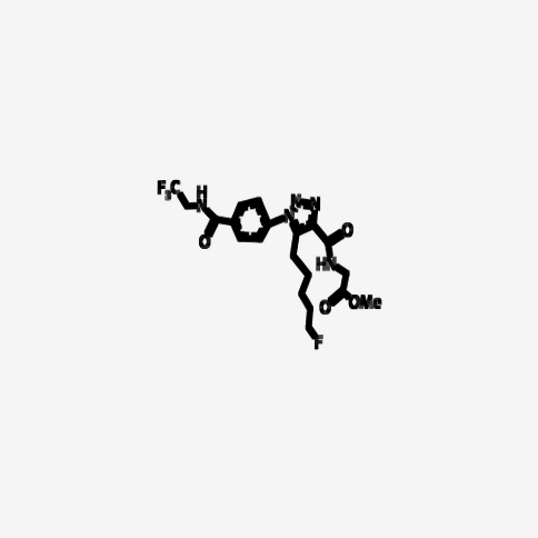 COC(=O)CNC(=O)c1nnn(-c2ccc(C(=O)NCC(F)(F)F)cc2)c1CCCCCF